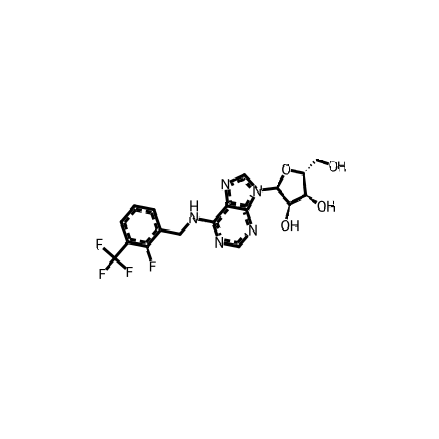 OC[C@H]1OC(n2cnc3c(NCc4cccc(C(F)(F)F)c4F)ncnc32)[C@H](O)[C@@H]1O